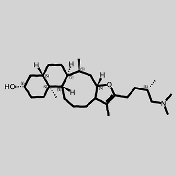 CC1=C(CC[C@H](C)CN(C)C)O[C@H]2C[C@H](C)[C@@H]3CC[C@H]4C[C@@H](O)CC[C@]4(C)[C@H]3CCCC12